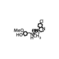 COc1cc(CNC(C)(C)CNc2ccnc3cc(Cl)ccc23)ccc1O